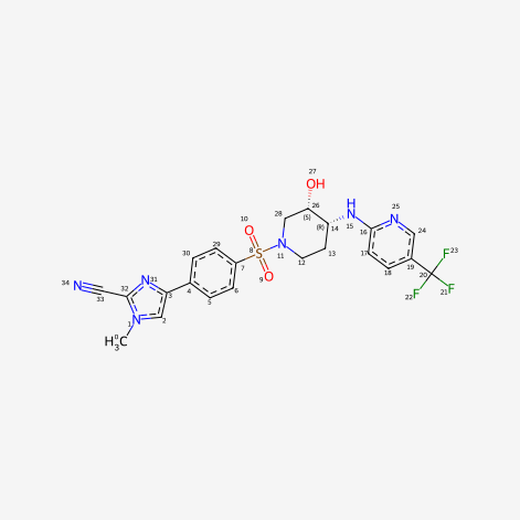 Cn1cc(-c2ccc(S(=O)(=O)N3CC[C@@H](Nc4ccc(C(F)(F)F)cn4)[C@@H](O)C3)cc2)nc1C#N